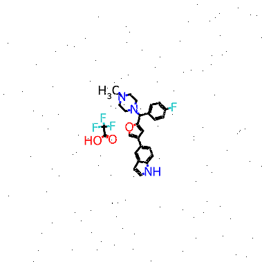 CN1CCN(C(c2ccc(F)cc2)c2cc(-c3ccc4[nH]ccc4c3)co2)CC1.O=C(O)C(F)(F)F